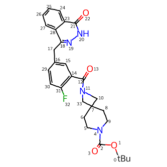 CC(C)(C)OC(=O)N1CCC2(CC1)CN(C(=O)c1cc(Cc3n[nH]c(=O)c4ccccc34)ccc1F)C2